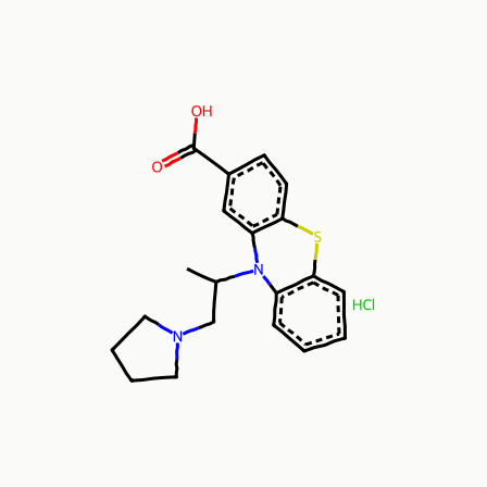 CC(CN1CCCC1)N1c2ccccc2Sc2ccc(C(=O)O)cc21.Cl